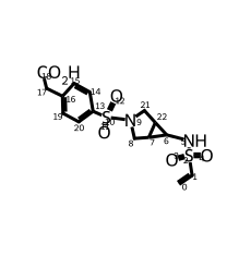 C=CS(=O)(=O)NC1C2CN(S(=O)(=O)c3ccc(CC(=O)O)cc3)CC21